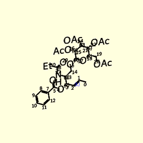 C/C=C/[C@@H](OC(=O)c1ccccc1)[C@H](CO[C@@H]1O[C@H](COC(C)=O)[C@H](OC(C)=O)[C@H](OC(C)=O)[C@H]1OC(C)=O)NC(=O)CC